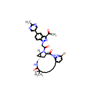 CC(=O)c1nn(CC(=O)N2[C@H]3C[C@@]4(CNC(=O)C(C)(C)CCCCCc5ccc(Br)nc5NC3=O)C[C@@H]24)c2ccc(-c3cnc(C)nc3)cc12